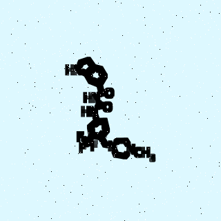 CN1CCN(Cc2ccc(NC(=O)NC(=O)c3ccc4c(c3)NCC4)cc2C(F)(F)F)CC1